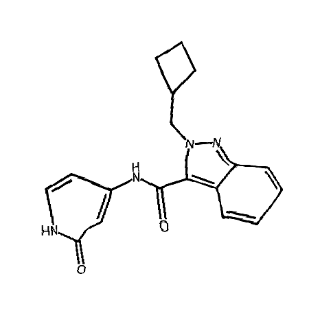 O=C(Nc1cc[nH]c(=O)c1)c1c2ccccc2nn1CC1CCC1